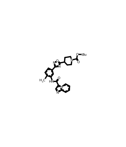 Cc1ccc(-c2noc(C3CCN(C(=O)OC(C)(C)C)CC3)n2)cc1NC(=O)c1cnc2ccccn12